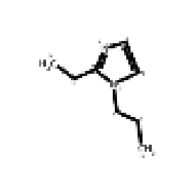 CCCn1ccnc1CC